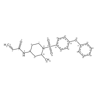 C=CC(=O)NC1CCN(S(=O)(=O)c2ccc(Oc3ccccc3)cc2)C(C)C1